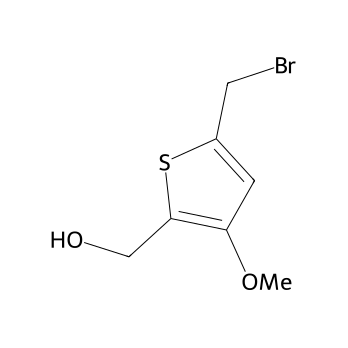 COc1cc(CBr)sc1CO